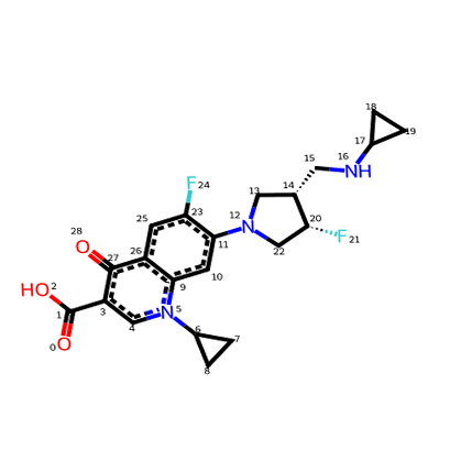 O=C(O)c1cn(C2CC2)c2cc(N3C[C@H](CNC4CC4)[C@H](F)C3)c(F)cc2c1=O